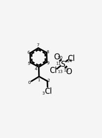 CC(CCl)c1ccccc1.O=S(=O)(Cl)Cl